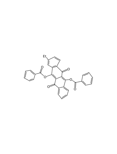 CCc1ccc2c(c1)C(OC(=O)c1ccccc1)=C1C(=O)c3ccccc3C(OC(=O)c3ccccc3)=C1C2=O